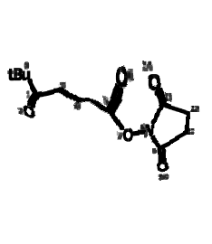 CC(C)(C)C(=O)CCC(=O)ON1C(=O)CCC1=O